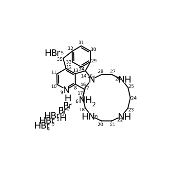 Br.Br.Br.Br.Br.Br.NCc1nccc2c1C(N1CCCNCCNCCCNCC1)c1ccc(cc1)C2